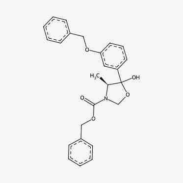 C[C@@H]1N(C(=O)OCc2ccccc2)COC1(O)c1cccc(OCc2ccccc2)c1